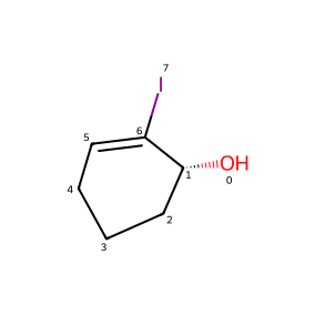 O[C@@H]1CCCC=C1I